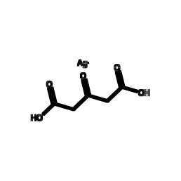 O=C(O)CC(=O)CC(=O)O.[Ag]